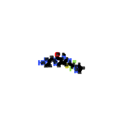 Cn1c2nc(C(F)(F)n3cccn3)sc2c2cnn(Cc3cc[nH]n3)c(=O)c21